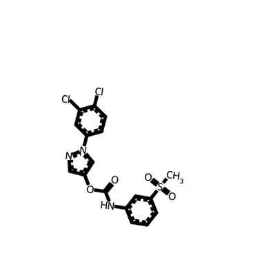 CS(=O)(=O)c1cccc(NC(=O)Oc2cnn(-c3ccc(Cl)c(Cl)c3)c2)c1